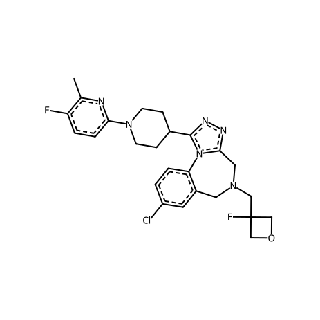 Cc1nc(N2CCC(c3nnc4n3-c3ccc(Cl)cc3CN(CC3(F)COC3)C4)CC2)ccc1F